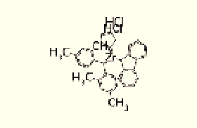 Cc1ccc([C](c2ccc(C)cc2C)=[Zr]([C]2=CC=CC2)[CH]2c3ccccc3-c3ccccc32)c(C)c1.Cl.Cl